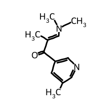 CC(=CN(C)C)C(=O)c1cncc(C)c1